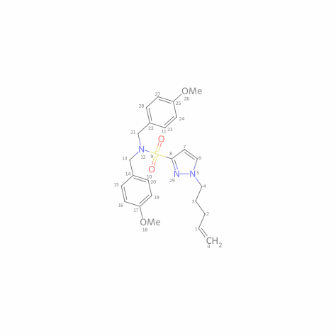 C=CCCCn1ccc(S(=O)(=O)N(Cc2ccc(OC)cc2)Cc2ccc(OC)cc2)n1